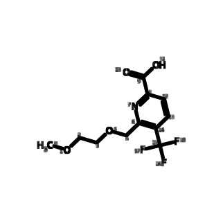 COCCOCc1nc(C(=O)O)ccc1C(F)(F)F